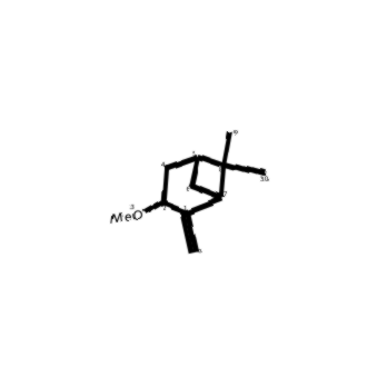 C=C1C(OC)CC2CC1C2(C)C